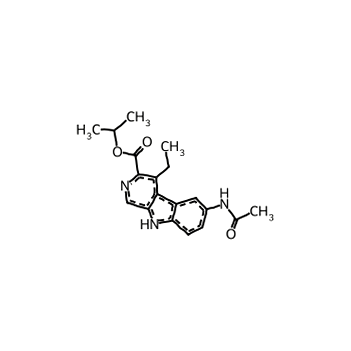 CCc1c(C(=O)OC(C)C)ncc2[nH]c3ccc(NC(C)=O)cc3c12